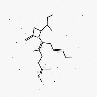 C=C1CC(C(C)CC)N1/C(C/C=C/CC)=C(\C)CC/C(C)=N/C